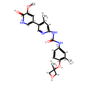 CCOc1cc(-c2cnc(NC(=O)Nc3ccc(OC4(C)COC4)c(C(F)(F)F)c3)cc2C)c[nH]c1=O